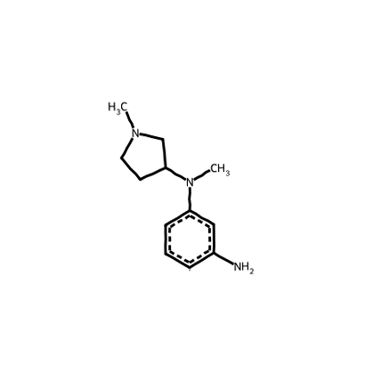 CN1CCC(N(C)c2cc[c]c(N)c2)C1